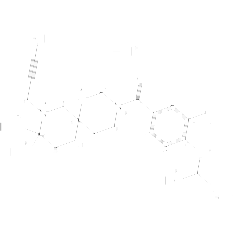 CC#CCN1CC2(CCN(C(=O)c3ccc(OC(C)C)c(C)c3)CO2)CCC1(C)C.Cl